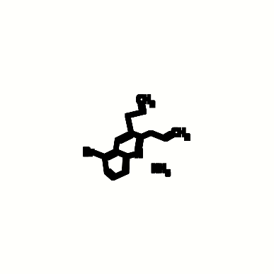 C=CCc1cc2c(Br)cccc2nc1CC=C.N